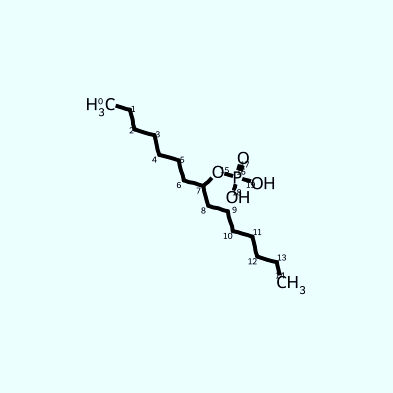 CCCCCCCC(CCCCCCC)OP(=O)(O)O